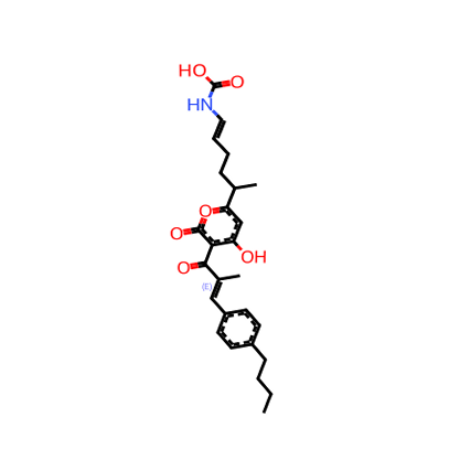 CCCCc1ccc(/C=C(\C)C(=O)c2c(O)cc(C(C)CCC=CNC(=O)O)oc2=O)cc1